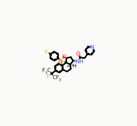 O=C(Cc1ccncc1)N[C@@H]1CC[C@]2(S(=O)(=O)c3ccc(F)cc3)c3ccc(C(F)(C(F)(F)F)C(F)(F)F)cc3CC[C@H]12